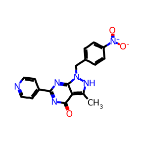 Cc1[nH]n(Cc2ccc([N+](=O)[O-])cc2)c2nc(-c3ccncc3)nc(=O)c1-2